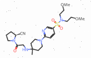 COCCN(CCOC)S(=O)(=O)c1ccc(N2CCC(C)(NCC(=O)N3CCC[C@H]3C#N)CC2)nc1